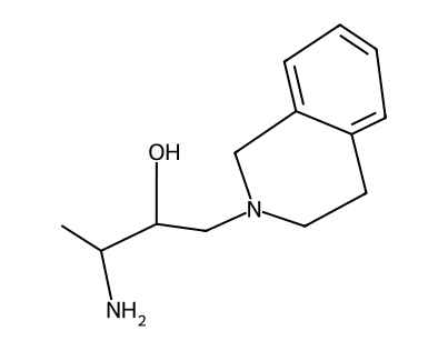 CC(N)C(O)CN1CCc2ccccc2C1